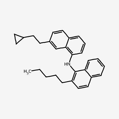 CCCCCc1ccc2ccccc2c1Nc1cccc2ccc(CCC3CC3)cc12